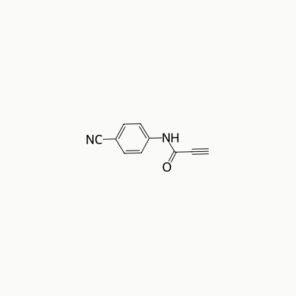 C#CC(=O)Nc1ccc(C#N)cc1